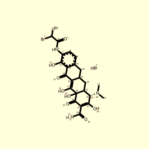 Br.CCCC(Br)C(=O)Nc1ccc2c(c1O)C(=O)C1=C(O)C3(O)C(=O)C(C(N)=O)=C(O)[C@@H](N(C)C)C3CC1C2